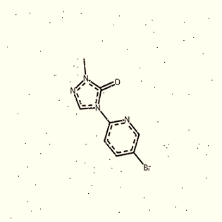 Cn1ncn(-c2ccc(Br)cn2)c1=O